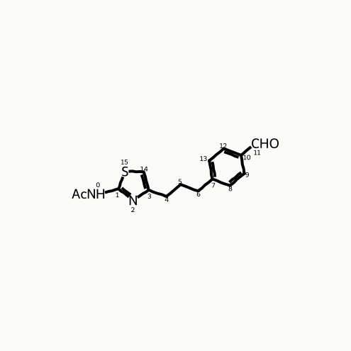 CC(=O)Nc1nc(CCCc2ccc(C=O)cc2)cs1